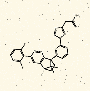 CC1(C)[C@H]2CC[C@@]1(c1ccnc(-n3cnc(CC(N)=O)n3)n1)c1nnc(-c3c(F)cccc3F)cc12